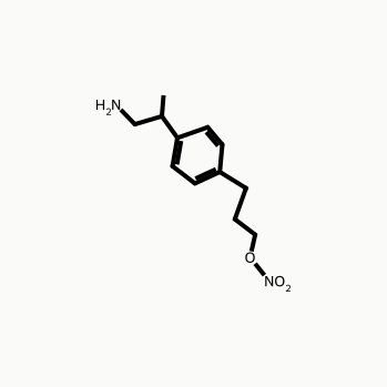 CC(CN)c1ccc(CCCO[N+](=O)[O-])cc1